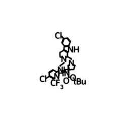 CC(C)(C)OC(=O)NC1CCN(CC2c3[nH]c4ccc(Cl)cc4c3CCN2CCNc2ccc(Cl)c(C(F)(F)F)n2)C1